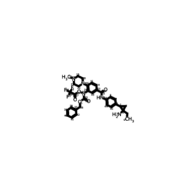 CCC1(N)CC1c1ccc(NC(=O)c2ccc(N3CCN(C)CC3)c(N(OC(=O)C(F)(F)F)C(=O)OCc3ccccc3)c2)cc1